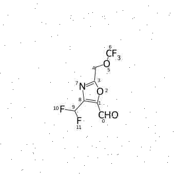 O=Cc1oc(COC(F)(F)F)nc1C(F)F